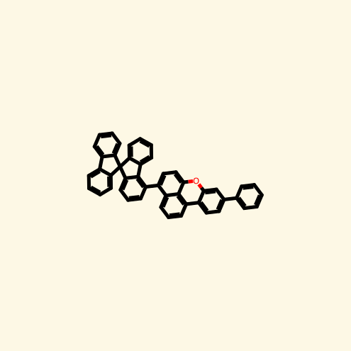 c1ccc(-c2ccc3c(c2)Oc2ccc(-c4cccc5c4-c4ccccc4C54c5ccccc5-c5ccccc54)c4cccc-3c24)cc1